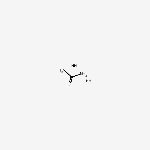 NC(N)=S.[HH].[HH]